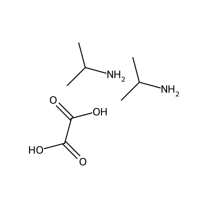 CC(C)N.CC(C)N.O=C(O)C(=O)O